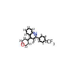 Cc1c(-c2ccc(C(F)(F)F)cc2)nc2ccccc2c1C1CCOCC1